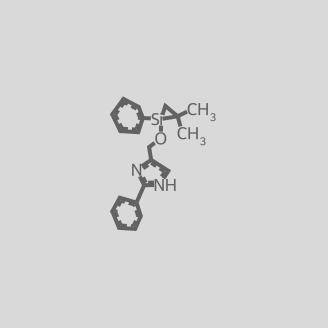 CC1(C)C[Si]1(OCc1c[nH]c(-c2ccccc2)n1)c1ccccc1